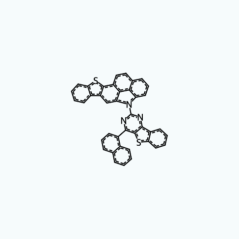 c1ccc2c(-c3nc(-n4c5cccc6ccc7c8sc9ccccc9c8cc4c7c65)nc4c3sc3ccccc34)cccc2c1